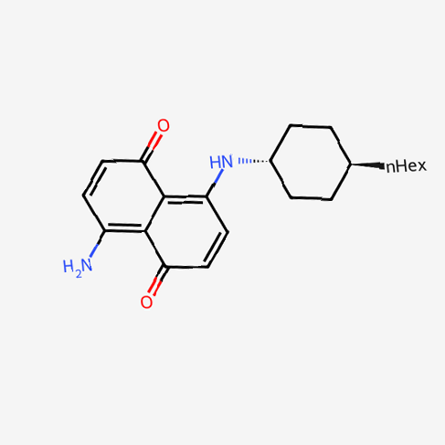 CCCCCC[C@H]1CC[C@H](NC2=C3C(=O)C=CC(N)=C3C(=O)C=C2)CC1